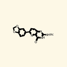 CC(=O)Nc1nc2ccc(-c3ccc4c(c3)OCO4)nc2c(=O)[nH]1